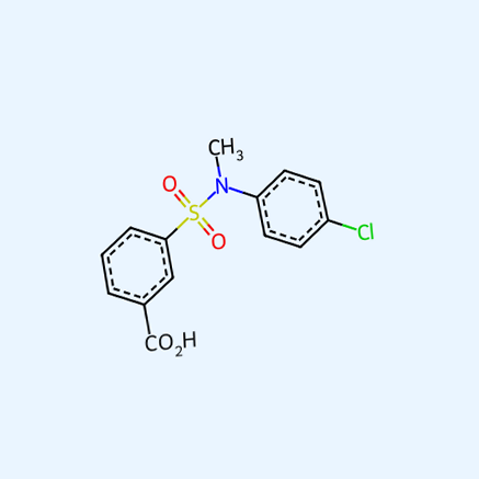 CN(c1ccc(Cl)cc1)S(=O)(=O)c1cccc(C(=O)O)c1